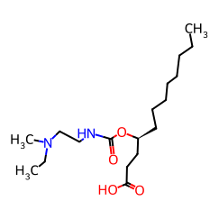 CCCCCCCC[C@@H](CCC(=O)O)OC(=O)NCCN(C)CC